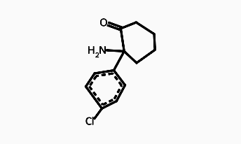 NC1(c2ccc(Cl)cc2)CCCCC1=O